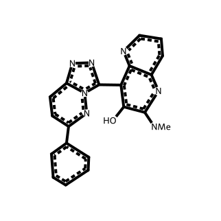 CNc1nc2cccnc2c(-c2nnc3ccc(-c4ccccc4)nn23)c1O